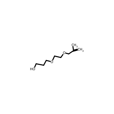 C=C(C)COCCOCCCO